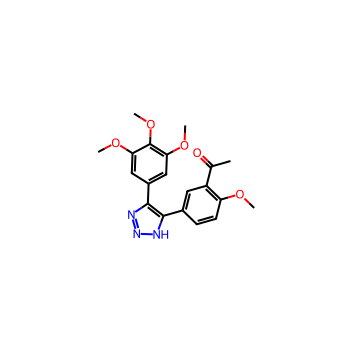 COc1ccc(-c2[nH]nnc2-c2cc(OC)c(OC)c(OC)c2)cc1C(C)=O